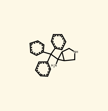 NC1(C(c2ccccc2)(c2ccccc2)c2ccccc2)C2CNCC21